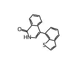 O=c1[nH]cc(-c2cccc3ccsc23)c2ccccc12